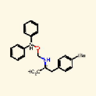 CC(C)(C)c1ccc(C[C@H](NCO[SiH](c2ccccc2)c2ccccc2)C(=O)O)cc1